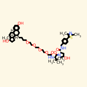 Cc1nc(C)c(-c2ccc(CNC(=O)[C@@H]3C[C@@H](O)CN3C(=O)[C@@H](NC(=O)COCCOCCOCCOCCCC[C@@H]3Cc4cc(O)ccc4[C@H]4CC[C@]5(C)[C@@H](O)CC[C@H]5[C@H]34)C(C)(C)C)cc2)s1